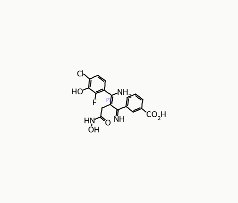 N=C(/C(CC(=O)NO)=C(\N)c1ccc(Cl)c(O)c1F)c1cccc(C(=O)O)c1